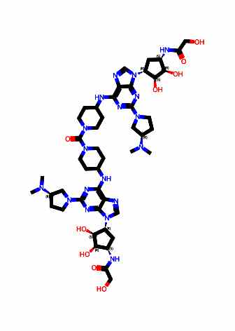 CN(C)[C@@H]1CCN(c2nc(NC3CCN(C(=O)N4CCC(Nc5nc(N6CC[C@@H](N(C)C)C6)nc6c5ncn6[C@@H]5C[C@H](NC(=O)CO)[C@@H](O)[C@H]5O)CC4)CC3)c3ncn([C@@H]4C[C@H](NC(=O)CO)[C@@H](O)[C@H]4O)c3n2)C1